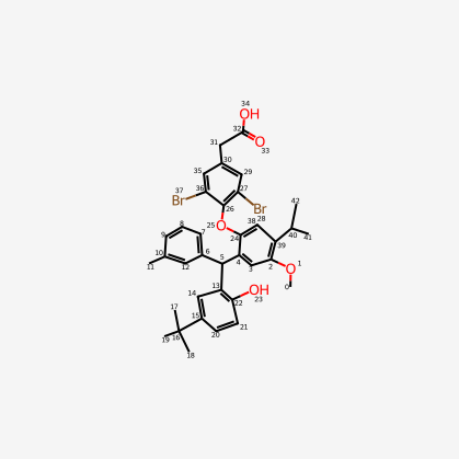 COc1cc(C(c2cccc(C)c2)c2cc(C(C)(C)C)ccc2O)c(Oc2c(Br)cc(CC(=O)O)cc2Br)cc1C(C)C